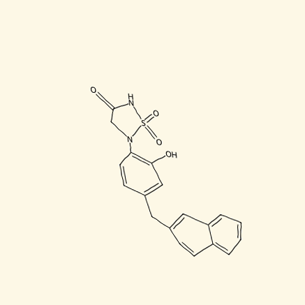 O=C1CN(c2ccc(Cc3ccc4ccccc4c3)cc2O)S(=O)(=O)N1